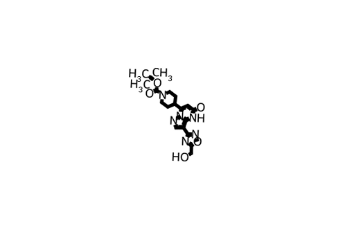 CC(C)(C)OC(=O)N1CCC(c2cc(=O)[nH]c3c(-c4noc(CO)n4)cnn23)CC1